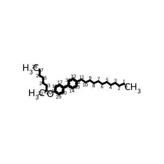 CCCCCCCCCCCCc1ccc(-c2ccc(OC(C)CCCCCC)cc2)cc1